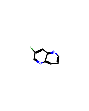 Fc1cnc2c[c]cnc2c1